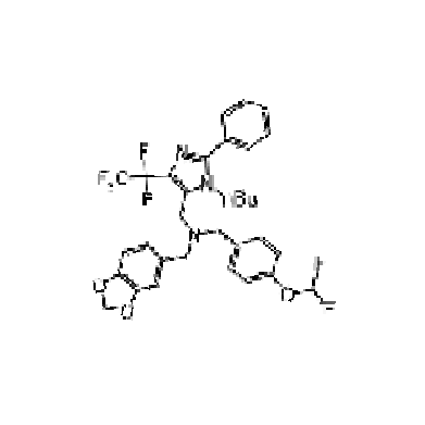 CCCCn1c(-c2ccccc2)nc(C(F)(F)C(F)(F)F)c1CN(Cc1ccc(OC(F)F)cc1)Cc1ccc2c(c1)OCO2